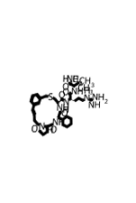 CC(C)(C)[C@H](NC(=O)[C@H](CCCNC(=N)N)NC(=O)[C@@H]1CSCc2cccc(c2)/C=C/CC(=O)N2CCC[C@H]2C(=O)NC(C2CCCCC2)C(=O)N1)C(N)=O